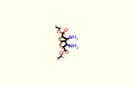 CCOC(=O)c1sc2sc(C(=O)OCC)c(N)c2c1N